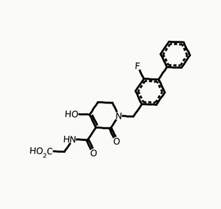 O=C(O)CNC(=O)C1=C(O)CCN(Cc2ccc(-c3ccccc3)c(F)c2)C1=O